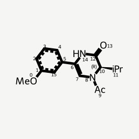 COc1cccc(C2=CN(C(C)=O)[C@H](C(C)C)C(=O)N2)c1